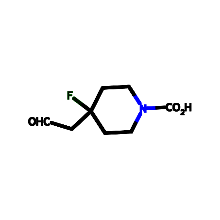 O=CCC1(F)CCN(C(=O)O)CC1